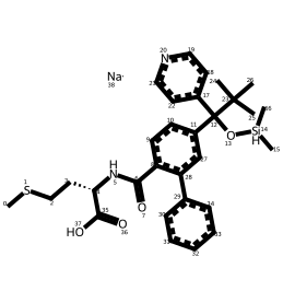 CSCC[C@H](NC(=O)c1ccc(C(O[SiH](C)C)(c2ccncc2)C(C)(C)C)cc1-c1ccccc1)C(=O)O.[Na]